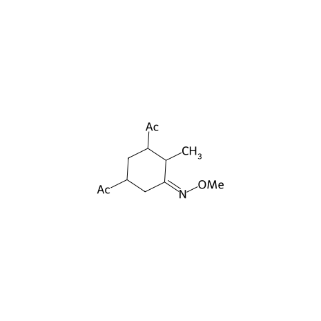 CO/N=C1/CC(C(C)=O)CC(C(C)=O)C1C